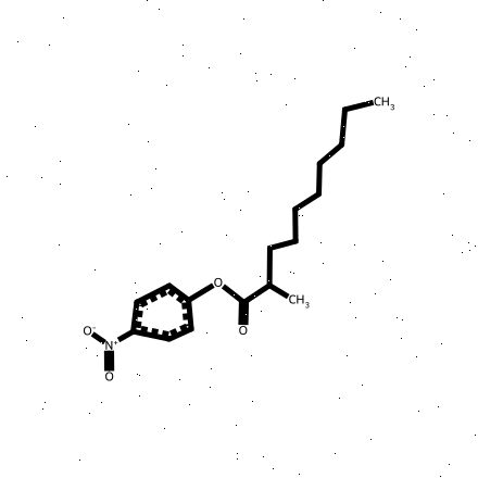 CCCCCCCCC(C)C(=O)Oc1ccc([N+](=O)[O-])cc1